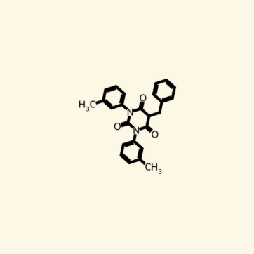 Cc1cccc(N2C(=O)C(Cc3ccccc3)C(=O)N(c3cccc(C)c3)C2=O)c1